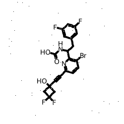 O=C(O)NC(Cc1cc(F)cc(F)c1)c1nc(C#CC2(O)CC(F)(F)C2)ccc1Br